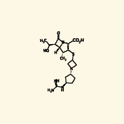 CC(O)[C@H]1C(=O)N2C(C(=O)O)=C(SC3CN([C@@H]4CC[C@@H](NC(=N)N)C4)C3)[C@H](C)[C@H]12